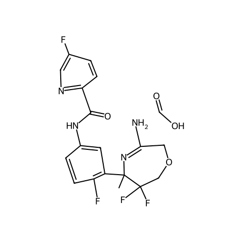 CC1(c2cc(NC(=O)c3ccc(F)cn3)ccc2F)N=C(N)COCC1(F)F.O=CO